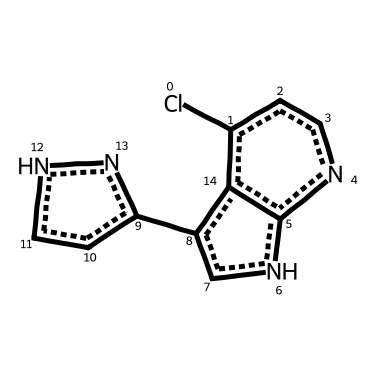 Clc1ccnc2[nH]cc(-c3cc[nH]n3)c12